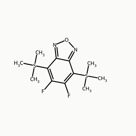 CS(C)(C)c1c(F)c(F)c(S(C)(C)C)c2nonc12